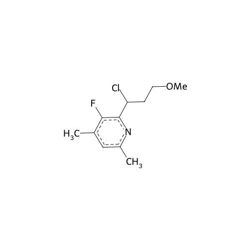 COCCC(Cl)c1nc(C)cc(C)c1F